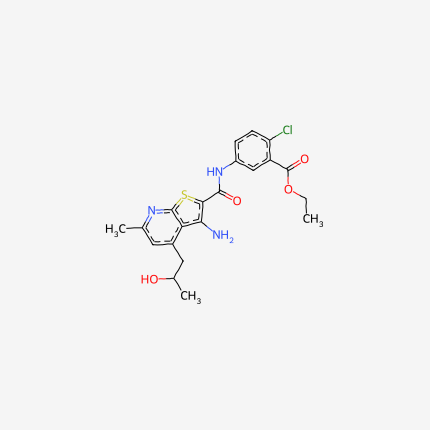 CCOC(=O)c1cc(NC(=O)c2sc3nc(C)cc(CC(C)O)c3c2N)ccc1Cl